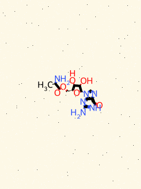 C[C@H](N)C(=O)OC[C@H]1O[C@@H](n2cnc3c(=O)[nH]c(N)nc32)[C@H](O)[C@@H]1O